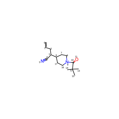 C=CCC(C#N)C1CCN(C(=O)C(C)(C)C)CC1